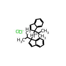 CC(C)[C]1([Hf+2][C]2(C(C)C)C=Cc3ccccc32)C=Cc2ccccc21.[Cl-].[Cl-]